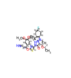 C=CN(/N=C(\COCC)C(=O)Nc1csc(O/C(=C/C=N)c2ccc(OC)c(OC)c2)n1)C1=C(C)CC=C(F)C=C1